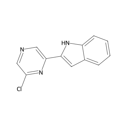 Clc1cncc(-c2cc3ccccc3[nH]2)n1